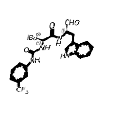 CC[C@H](C)[C@H](NC(=O)Nc1cccc(C(F)(F)F)c1)C(=O)N[C@H](C=O)Cc1c[nH]c2ccccc12